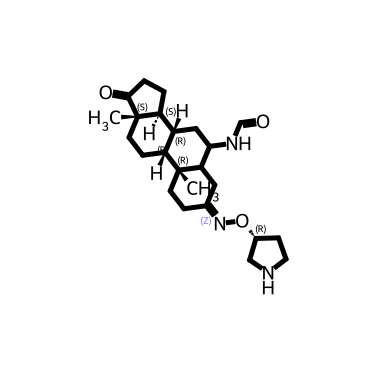 C[C@]12CC/C(=N/O[C@@H]3CCNC3)CC1C(NC=O)C[C@@H]1[C@H]2CC[C@]2(C)C(=O)CC[C@@H]12